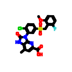 COc1cccc(F)c1CS(=O)(=O)c1ccc(Cl)c(-n2c(=O)[nH]c3c(C)cc(C(=O)O)nc32)c1